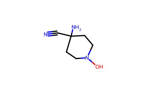 N#CC1(N)CCN(O)CC1